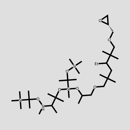 CCC(CC(C)(C)COCC(C)O[Si](C)(OC(C)(C)C(C)[SiH](C)OC(C)(C)[Si](C)(C)C)C(C)(C)O[Si](C)(C)C)C(C)(C)COC[C@H]1CO1